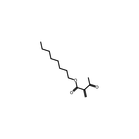 C=C(C(C)=O)C(=O)OCCCCCCCC